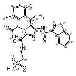 CC(=O)Cn1c(C(=O)NCCS(C)(=O)=O)nc(NC(=O)c2nsc3ccccc23)c1[C@H](C)c1cc(F)ccc1Cl